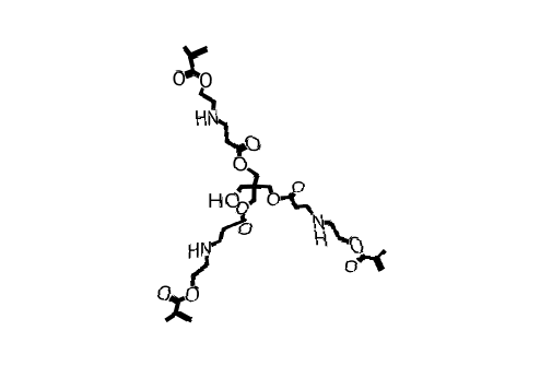 C=C(C)C(=O)OCCNCCC(=O)OCC(CO)(COC(=O)CCNCCOC(=O)C(=C)C)COC(=O)CCNCCOC(=O)C(=C)C